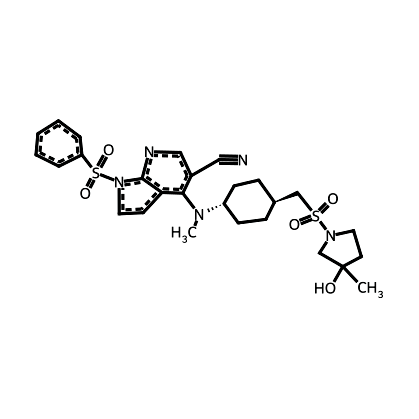 CN(c1c(C#N)cnc2c1ccn2S(=O)(=O)c1ccccc1)[C@H]1CC[C@H](CS(=O)(=O)N2CCC(C)(O)C2)CC1